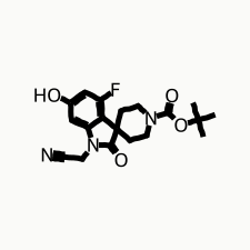 CC(C)(C)OC(=O)N1CCC2(CC1)C(=O)N(CC#N)c1cc(O)cc(F)c12